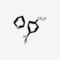 O=C(O)c1cc[c]([Hg][Cl])cc1.c1ccncc1